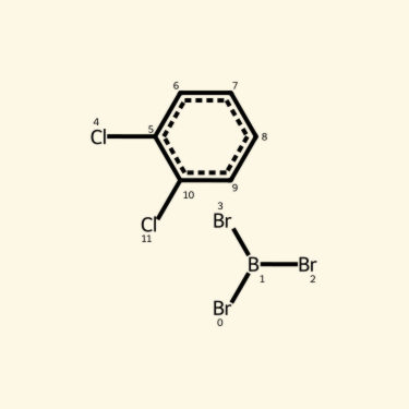 BrB(Br)Br.Clc1ccccc1Cl